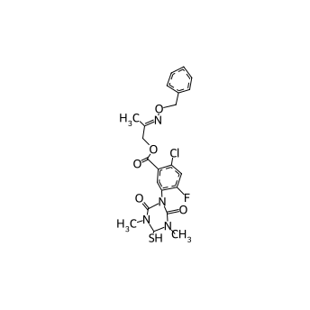 CC(COC(=O)c1cc(N2C(=O)N(C)C(S)N(C)C2=O)c(F)cc1Cl)=NOCc1ccccc1